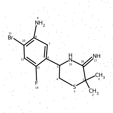 CC1(C)SCC(c2cc(N)c(Br)cc2F)NC1=N